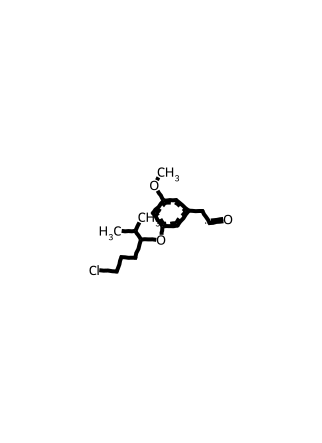 COc1cc(C[C]=O)cc(OC(CCCCl)C(C)C)c1